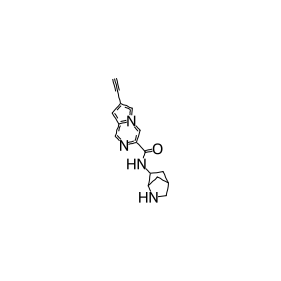 C#Cc1cc2cnc(C(=O)NC3CC4CNC3C4)cn2c1